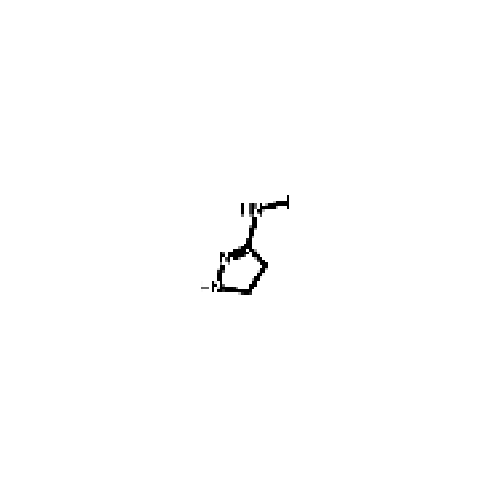 INC1=NNCC1